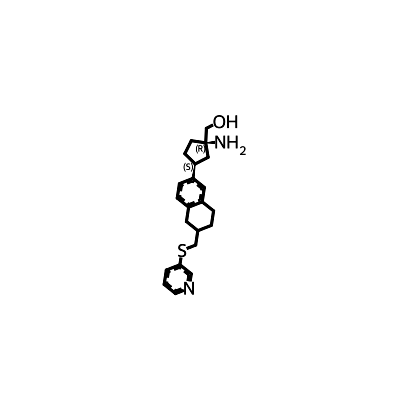 N[C@]1(CO)CC[C@H](c2ccc3c(c2)CCC(CSc2cccnc2)C3)C1